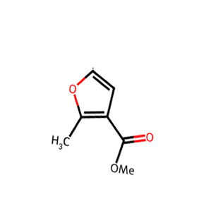 COC(=O)c1c[c]oc1C